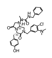 CN(C)c1cc(CN2C[C@H]3N(C(=O)CN3N(C)C(=O)NCc3ccccc3)[C@@H](Cc3ccc(O)cc3)C2=O)ccc1Cl